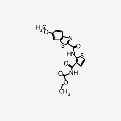 CCOC(=O)NC(=O)c1ccsc1NC(=O)c1nc2ccc(OC)cc2s1